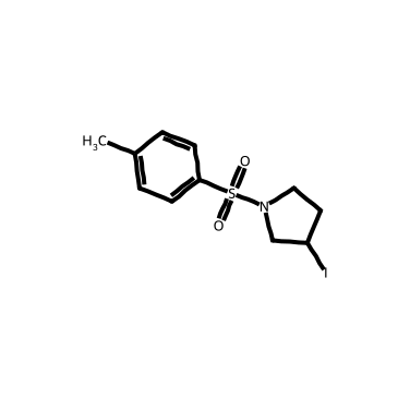 Cc1ccc(S(=O)(=O)N2CCC(I)C2)cc1